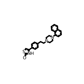 O=c1[nH]c(-c2ccc(CCN3CCN(c4cccc5ccccc45)CC3)cc2)cs1